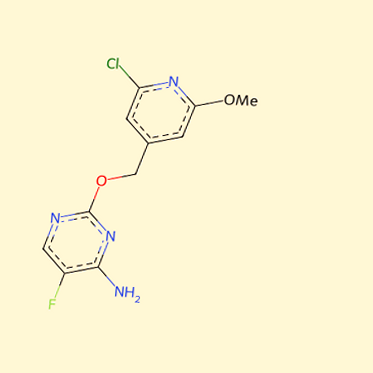 COc1cc(COc2ncc(F)c(N)n2)cc(Cl)n1